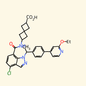 CCOc1cc(-c2ccc(C(C)n3ncc4c(Cl)ccc(C(=O)NC5CC6(C5)CC(C(=O)O)C6)c43)cc2)ccn1